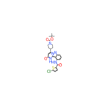 CC(C)(C)OC(=O)N1CCC(c2cc(=O)[nH]c3c4c(NC(=O)c5ccc(Cl)s5)cccc4nn23)CC1